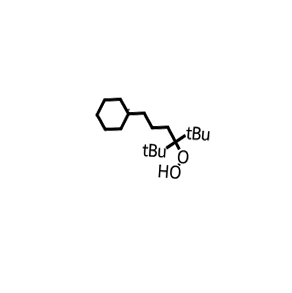 CC(C)(C)C(CCC[C]1CCCCC1)(OO)C(C)(C)C